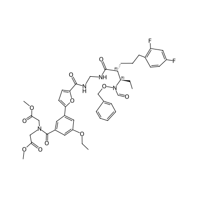 CCOc1cc(C(=O)N(CC(=O)OC)CC(=O)OC)cc(-c2ccc(C(=O)NCNC(=O)[C@H](CCCc3ccc(F)cc3F)[C@@H](CC)N(C=O)OCc3ccccc3)o2)c1